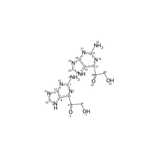 Nc1nc(C(=O)CO)c2[nH]cnc2n1.Nc1nc(C(=O)CO)c2[nH]cnc2n1